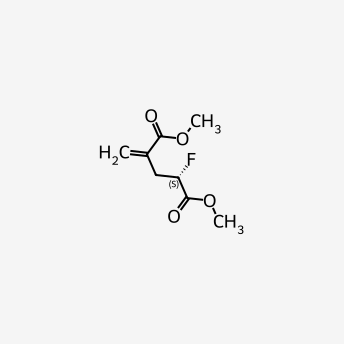 C=C(C[C@H](F)C(=O)OC)C(=O)OC